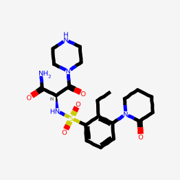 CCc1c(N2CCCCC2=O)cccc1S(=O)(=O)N[C@@H](C(N)=O)C(=O)N1CCNCC1